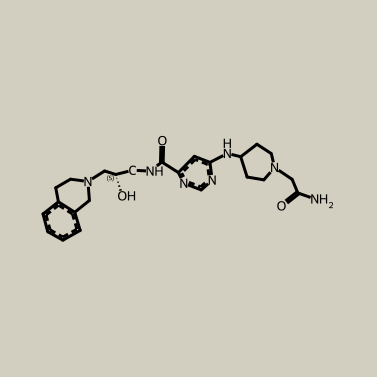 NC(=O)CN1CCC(Nc2cc(C(=O)NC[C@H](O)CN3CCc4ccccc4C3)ncn2)CC1